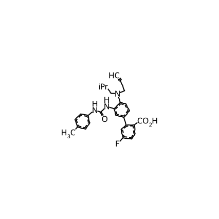 C#CCN(CC(C)C)c1ccc(-c2cc(F)ccc2C(=O)O)cc1NC(=O)Nc1ccc(C)cc1